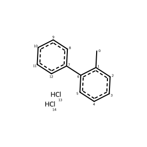 Cc1ccccc1-c1ccccc1.Cl.Cl